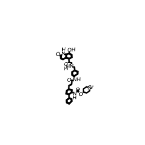 C[N+]1(C)CCC(OC(=O)Nc2cc(C=CC(=O)Nc3ccc(CNC[C@H](O)c4ccc(O)c5[nH]c(=O)ccc45)cc3)ccc2-c2ccccc2)CC1